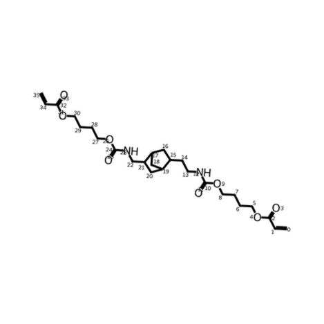 C=CC(=O)OCCCCOC(=O)NCCC1CC2CC1CC2CNC(=O)OCCCCOC(=O)C=C